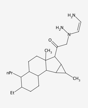 CCCC1C(CC)CCC2C1CCC1(C)C(C(=O)CN(N)/C=C\N)C3C(C)C3C21